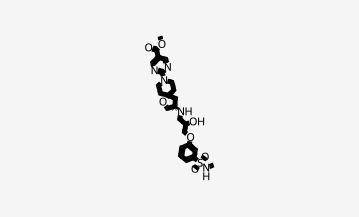 CNS(=O)(=O)c1cccc(OCC(O)CN[C@H]2COC3(CCN(c4ncc(C(=O)OC)cn4)CC3)C2)c1